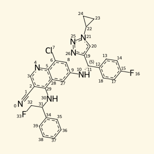 N#Cc1cnc2c(Cl)cc(N[C@@H](c3ccc(F)cc3)c3cn(C4CC4)nn3)cc2c1NC(CF)c1ccccc1